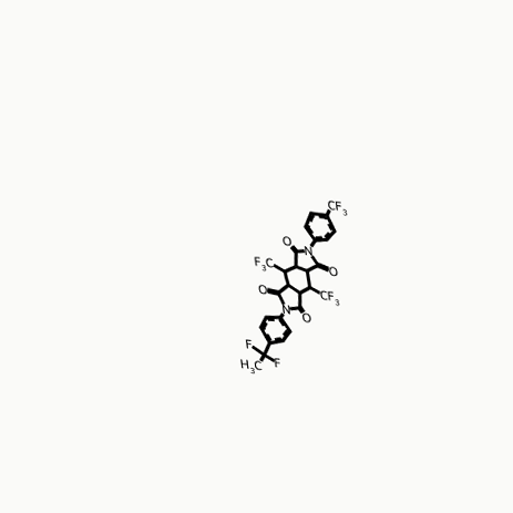 CC(F)(F)c1ccc(N2C(=O)C3C(C2=O)C(C(F)(F)F)C2C(=O)N(c4ccc(C(F)(F)F)cc4)C(=O)C2C3C(F)(F)F)cc1